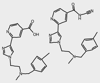 Cc1ccc(CN(C)CCn2cnc(-c3cc(C(=O)NC#N)ccn3)c2)cc1.Cc1ccc(CN(C)CCn2cnc(-c3cc(C(=O)O)ccn3)c2)cc1